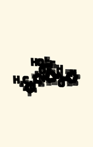 CC1CCCN1C1CCN(c2ccc(NC(=O)c3cccnc3)cc2)C1.O=C(O)C(F)(F)F